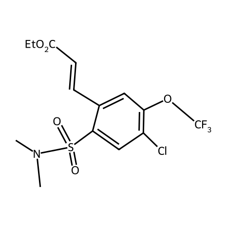 CCOC(=O)/C=C/c1cc(OC(F)(F)F)c(Cl)cc1S(=O)(=O)N(C)C